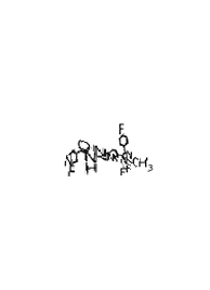 CCc1nc(-c2ccc(F)cc2)c(-c2ccc3nc(NC(=O)c4ccnc(F)c4)cn3n2)n1CC(F)F